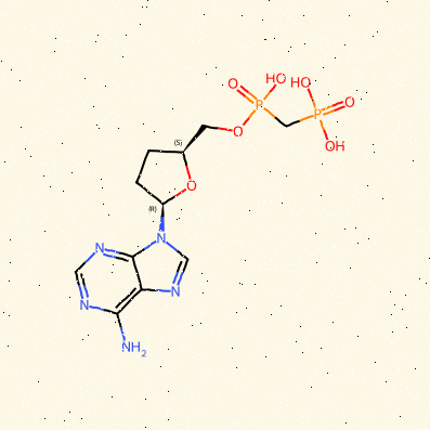 Nc1ncnc2c1ncn2[C@H]1CC[C@@H](COP(=O)(O)CP(=O)(O)O)O1